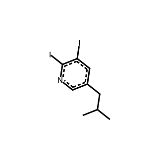 CC(C)Cc1cnc(I)c(I)c1